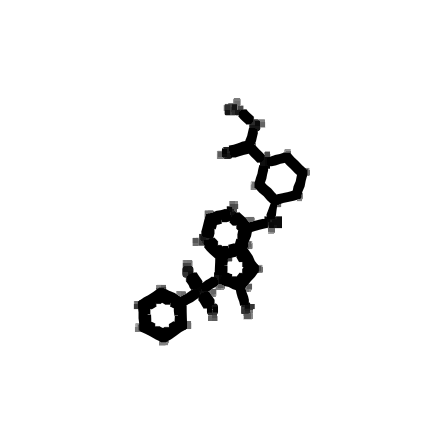 CC(C)(C)OC(=O)N1CCC[C@@H](Nc2ncnc3c2cc(Br)n3S(=O)(=O)c2ccccc2)C1